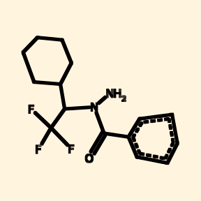 NN(C(=O)c1ccccc1)C(C1CCCCC1)C(F)(F)F